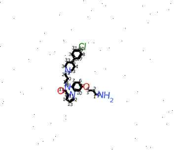 NCCCOc1ccc2c(c1)n1cccc1c(=O)n2CCCN1CCC(c2ccc(Cl)cc2)CC1